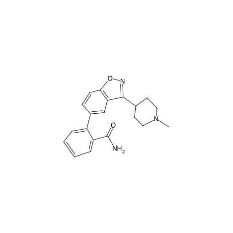 CN1CCC(c2noc3ccc(-c4ccccc4C(N)=O)cc23)CC1